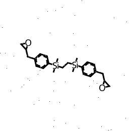 C[Si](C)(CC[Si](C)(C)c1ccc(CC2CO2)cc1)c1ccc(CC2CO2)cc1